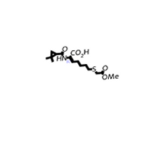 COC(=O)CSCCCC/C=C(/NC(=O)C1CC1(C)C)C(=O)O